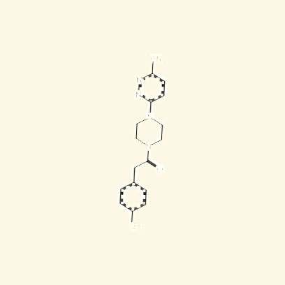 CC(C)(C)c1ccc(CC(=O)N2CCN(c3ccc(C#N)nn3)CC2)cc1